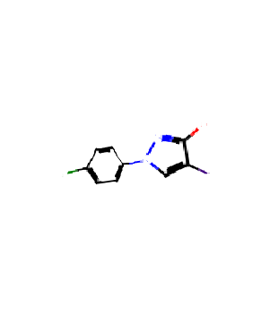 Oc1nn(-c2ccc(Br)cc2)cc1I